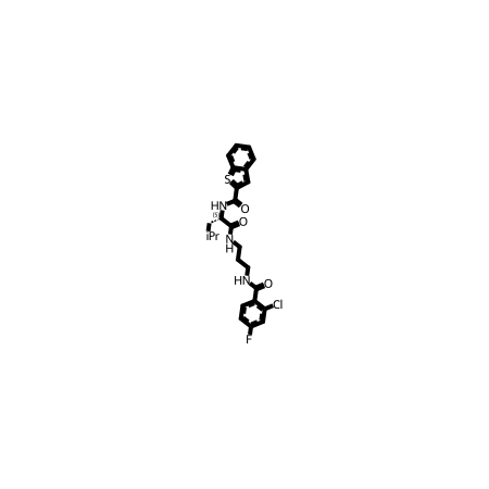 CC(C)C[C@H](NC(=O)c1cc2ccccc2s1)C(=O)NCCCNC(=O)c1ccc(F)cc1Cl